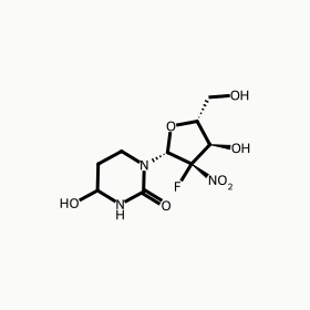 O=C1NC(O)CCN1[C@@H]1O[C@H](CO)[C@@H](O)[C@@]1(F)[N+](=O)[O-]